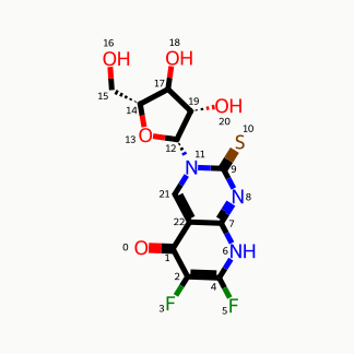 O=c1c(F)c(F)[nH]c2nc(=S)n([C@@H]3O[C@H](CO)C(O)[C@@H]3O)cc12